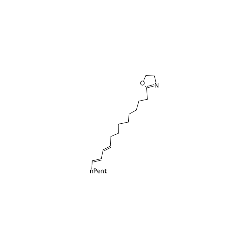 CCCCCC=CC=CCCCCCCCCC1=NCCO1